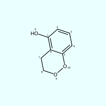 Oc1cccc2c1CCOO2